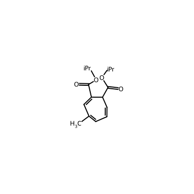 CC1=CC=CC(C(=O)OC(C)C)C(C(=O)OC(C)C)=C1